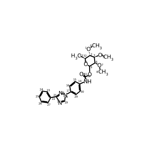 CO[C@@H]1[C@@H](OC)[C@@H](OC)C(OC(=O)Nc2ccc(-n3cnc(-c4ccccc4)n3)cc2)O[C@H]1C